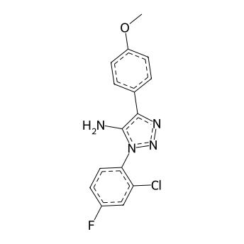 COc1ccc(-c2nnn(-c3ccc(F)cc3Cl)c2N)cc1